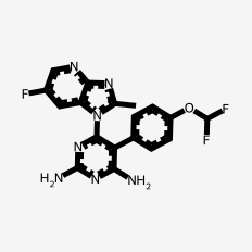 Cc1nc2ncc(F)cc2n1-c1nc(N)nc(N)c1-c1ccc(OC(F)F)cc1